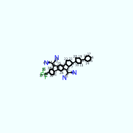 N#CC(C#N)=C1c2cc(-c3ccc(-c4ccccc4)cc3)ccc2-c2cc3c(cc21)-c1ccc(C(F)(F)F)cc1C3=C(C#N)C#N